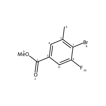 COC(=O)c1cc(C)c(Br)c(F)c1